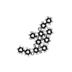 c1ccc(-c2ccc(Oc3cc4c5c(c3)Sc3cc6c(cc3B5c3ccccc3S4)B3c4ccccc4N(c4ccccc4)c4cc(Oc5ccc(-c7ccccc7)cc5)cc(c43)N6c3ccccc3)cc2)cc1